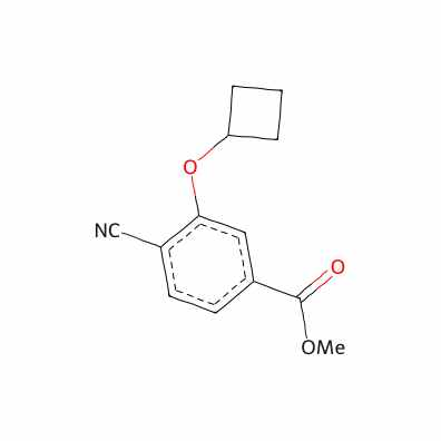 COC(=O)c1ccc(C#N)c(OC2CCC2)c1